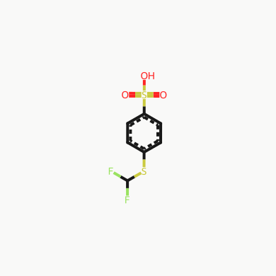 O=S(=O)(O)c1ccc(SC(F)F)cc1